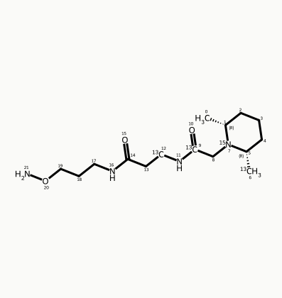 C[C@@H]1CCC[C@H]([13CH3])[15N]1C[13C](=O)N[13CH2]CC(=O)NCCCON